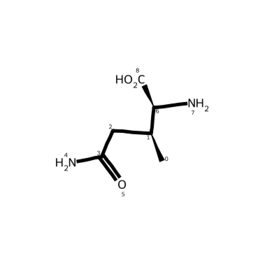 C[C@@H](CC(N)=O)[C@H](N)C(=O)O